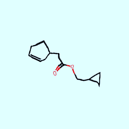 O=C(CC1C=CCC1)OCC1CC1